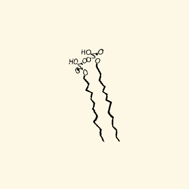 CCCCCCCCCCCCCCOS(=O)(=O)O.CCCCCCCCCCCCOS(=O)(=O)O